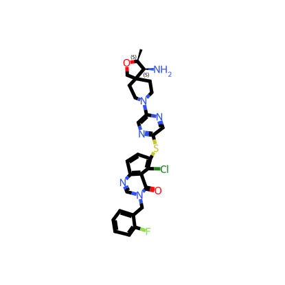 C[C@@H]1OCC2(CCN(c3cnc(Sc4ccc5ncn(Cc6ccccc6F)c(=O)c5c4Cl)cn3)CC2)[C@@H]1N